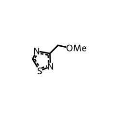 COCc1ncsn1